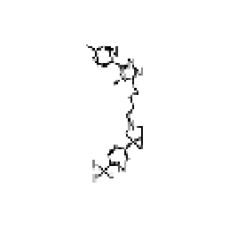 Cc1cnc(-c2nnc(SCCCN3CC4CC4(c4ccc(C(F)(F)F)nc4)C3)n2C)cn1